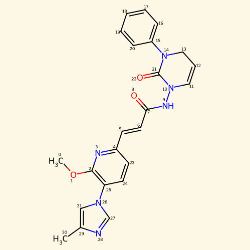 COc1nc(C=CC(=O)NN2C=CCN(c3ccccc3)C2=O)ccc1-n1cnc(C)c1